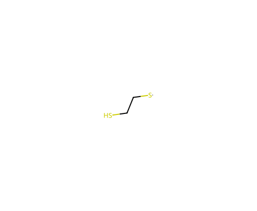 [S]CCS